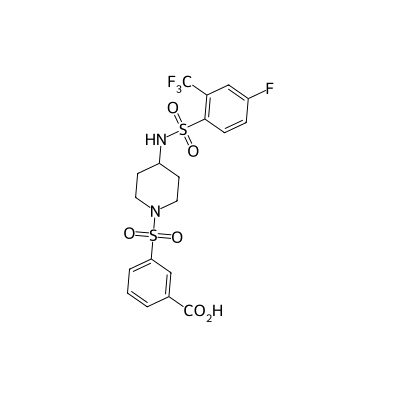 O=C(O)c1cccc(S(=O)(=O)N2CCC(NS(=O)(=O)c3ccc(F)cc3C(F)(F)F)CC2)c1